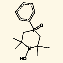 CC1(C)CP(=O)(c2ccccc2)CC(C)(C)N1O